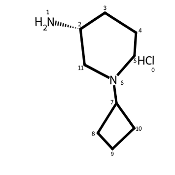 Cl.N[C@@H]1CCCN(C2CCC2)C1